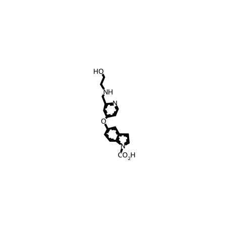 O=C(O)n1ccc2cc(Oc3ccnc(CNCCO)c3)ccc21